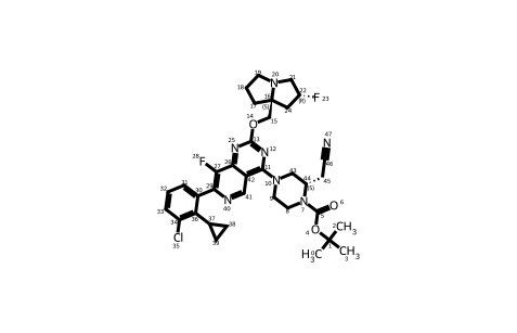 CC(C)(C)OC(=O)N1CCN(c2nc(OC[C@@]34CCCN3C[C@H](F)C4)nc3c(F)c(-c4cccc(Cl)c4C4CC4)ncc23)C[C@@H]1CC#N